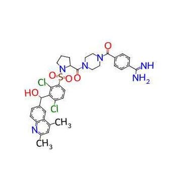 Cc1cc(C)c2cc(C(O)c3c(Cl)ccc(S(=O)(=O)N4CCCC4C(=O)N4CCN(C(=O)c5ccc(C(=N)N)cc5)CC4)c3Cl)ccc2n1